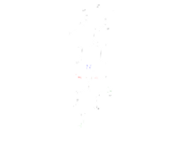 O=S(=O)(c1ccc(F)cc1Br)N1CCC(C2C=CCC=C2F)CC1